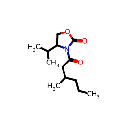 CCCC(C)CC(=O)N1C(=O)OCC1C(C)C